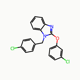 Clc1ccc(Cn2c(Oc3cccc(Cl)c3)nc3ccccc32)cc1